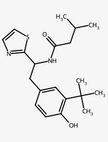 CC(C)CC(=O)NC(Cc1ccc(O)c(C(C)(C)C)c1)c1nccs1